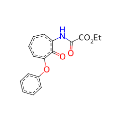 CCOC(=O)C(=O)Nc1ccccc(Oc2ccccc2)c1=O